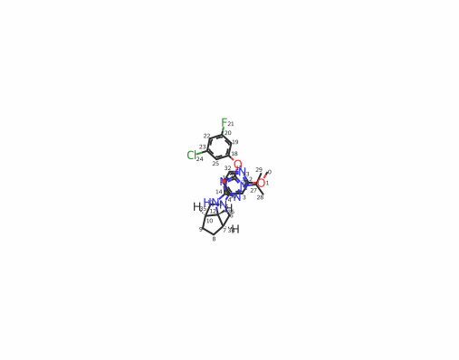 COc1cc(N2C[C@H]3CC[C@@H](C2)[C@@H]3Nc2nc(Oc3cc(F)cc(Cl)c3)n(C(C)C)n2)ccn1